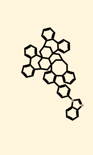 c1ccc2c(c1)CC1CC34CC(CC56CC(CC(C1)(c1cccc(-c7ccc(-n8cnc9ccccc98)cc7)c1-2)C35)c1ccccc1-c1ccccc16)c1ccccc1-c1ccccc14